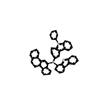 c1ccc(-n2c3ccccc3c3cc(N(c4cc5c6ccccc6ccc5c5ccccc45)c4cccc5c4oc4ccccc45)ccc32)cc1